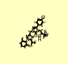 Cc1cccc(C)c1-n1nc(Cn2nc(-c3ccc(Cl)cc3)n(C[C@H](O)C(F)(F)F)c2=O)nc1C(C)F